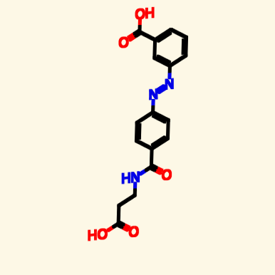 O=C(O)CCNC(=O)c1ccc(N=Nc2cccc(C(=O)O)c2)cc1